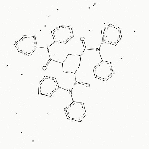 O=C(C1CC(C(=O)N(c2ccccc2)c2ccccc2)CC(C(=O)N(c2ccccc2)c2ccccc2)C1)N(c1ccccc1)c1ccccc1